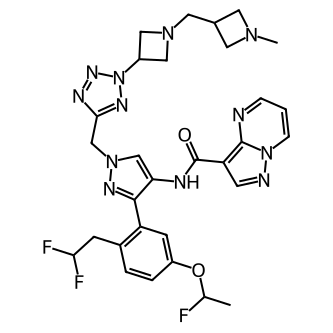 CC(F)Oc1ccc(CC(F)F)c(-c2nn(Cc3nnn(C4CN(CC5CN(C)C5)C4)n3)cc2NC(=O)c2cnn3cccnc23)c1